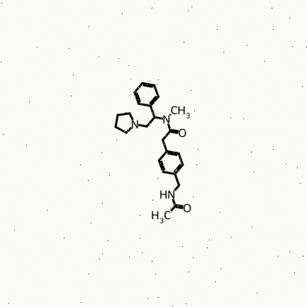 CC(=O)NCc1ccc(CC(=O)N(C)C(CN2CCCC2)c2ccccc2)cc1